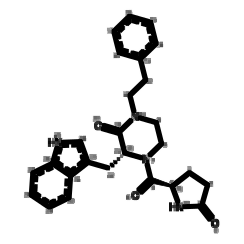 O=C1CC[C@H](C(=O)N2CCN(CCc3ccccc3)C(=O)[C@H]2Cc2c[nH]c3ccccc23)N1